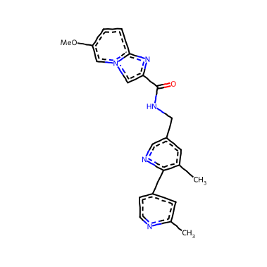 COc1ccc2nc(C(=O)NCc3cnc(-c4ccnc(C)c4)c(C)c3)cn2c1